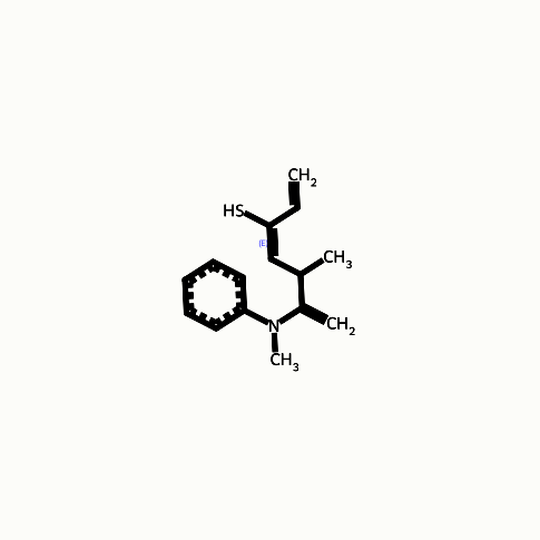 C=C/C(S)=C\C(C)C(=C)N(C)c1ccccc1